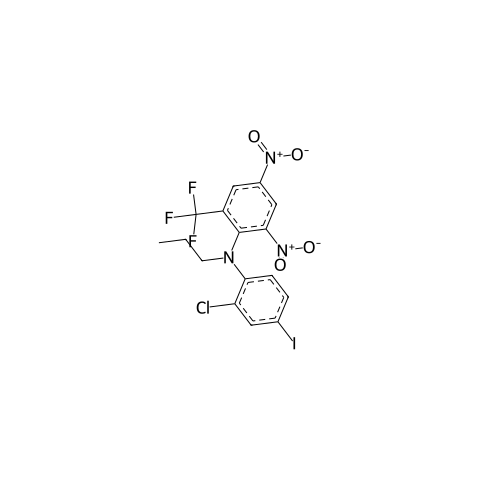 CCCN(c1ccc(I)cc1Cl)c1c([N+](=O)[O-])cc([N+](=O)[O-])cc1C(F)(F)F